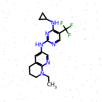 CCN1CCCc2cc(Nc3ncc(C(F)(F)F)c(NC4CC4)n3)cnc21